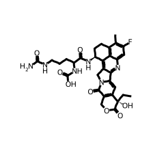 CC[C@@]1(O)C(=O)OCc2c1cc1n(c2=O)Cc2c-1nc1cc(F)c(C)c3c1c2[C@@H](NC(=O)C(CCCNC(N)=O)NC(=O)O)CC3